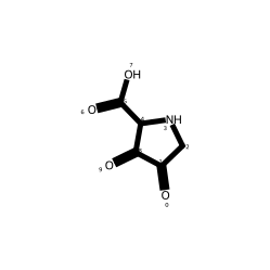 O=C1CNC(C(=O)O)C1=O